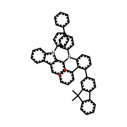 CC1(C)c2ccccc2-c2ccc(-c3cccc(N(c4ccc(-c5ccccc5)cc4)c4cccc5c6ccccc6n(-c6ccccc6)c45)c3-c3ccccc3)cc21